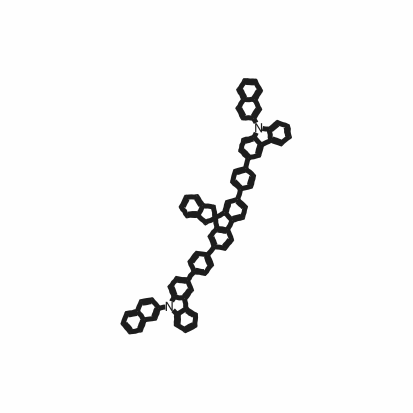 c1ccc2c(c1)CC1(C2)c2cc(-c3ccc(-c4ccc5c(c4)c4ccccc4n5-c4ccc5ccccc5c4)cc3)ccc2-c2ccc(-c3ccc(-c4ccc5c(c4)c4ccccc4n5-c4ccc5ccccc5c4)cc3)cc21